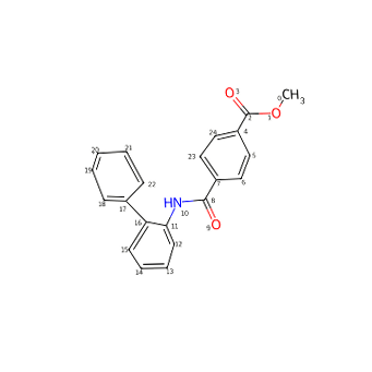 COC(=O)c1ccc(C(=O)Nc2ccccc2-c2cc[c]cc2)cc1